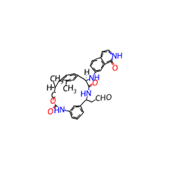 Cc1cc2ccc1[C@@H](C)COC(=O)Nc1cccc(c1)C(CC=O)NC(=O)[C@@H]2Nc1ccc2cc[nH]c(=O)c2c1